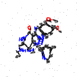 CCN/C=C1/NC(=O)C(c2nc3cc(OC)c(OC)cc3[nH]2)=C(N[C@@H](C)c2ccccn2)C1=N